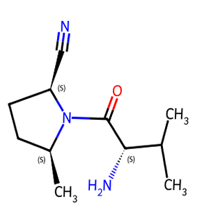 CC(C)[C@H](N)C(=O)N1[C@H](C#N)CC[C@@H]1C